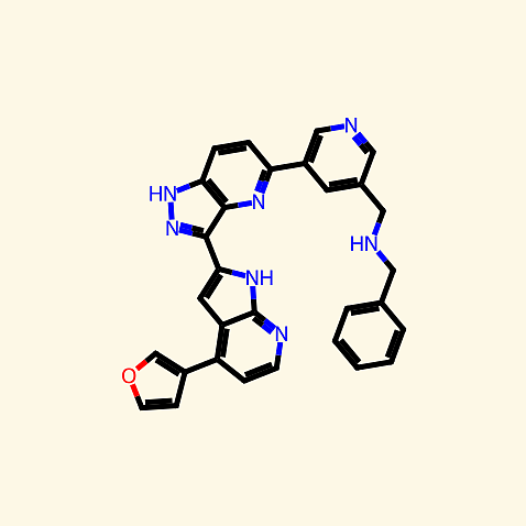 c1ccc(CNCc2cncc(-c3ccc4[nH]nc(-c5cc6c(-c7ccoc7)ccnc6[nH]5)c4n3)c2)cc1